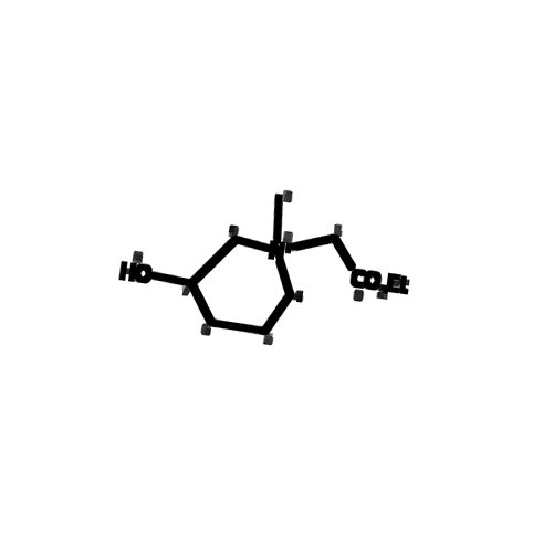 CCOC(=O)C[N+]1(C)CCCC(O)C1